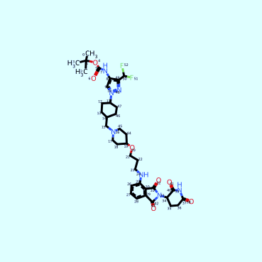 CC(C)(C)OC(=O)Nc1cn(C2CCC(CN3CCC(OCCCNc4cccc5c4C(=O)N(C4CCC(=O)NC4=O)C5=O)CC3)CC2)nc1C(F)F